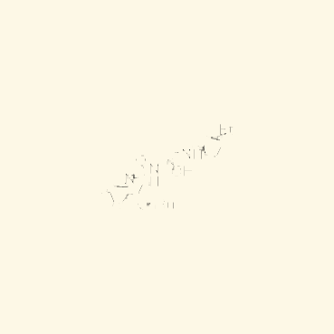 CCCCOc1cc(C(=O)NC[C@H](O)CNCc2cccc(CC)c2)nc2ccccc12